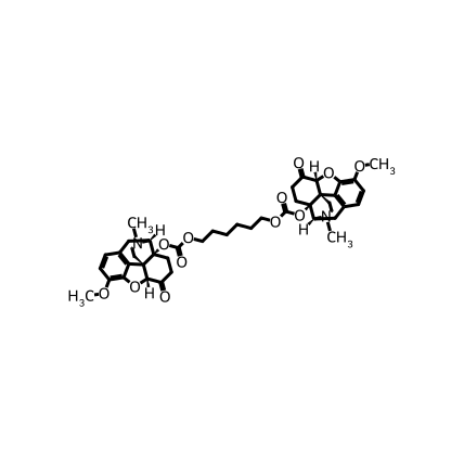 COc1ccc2c3c1O[C@H]1C(=O)CC[C@@]4(OC(=O)OCCCCCCOC(=O)O[C@@]56CCC(=O)[C@@H]7Oc8c(OC)ccc9c8[C@@]75CCN(C)[C@@H]6C9)[C@@H](C2)N(C)CC[C@]314